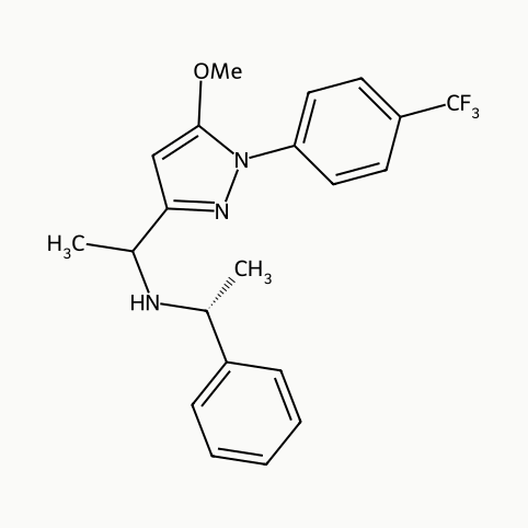 COc1cc(C(C)N[C@H](C)c2ccccc2)nn1-c1ccc(C(F)(F)F)cc1